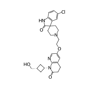 O=C1CCc2cc(OCCN3CCC4(CC3)C(=O)Nc3ccc(Cl)cc34)cnc2N1[C@H]1C[C@@H](CO)C1